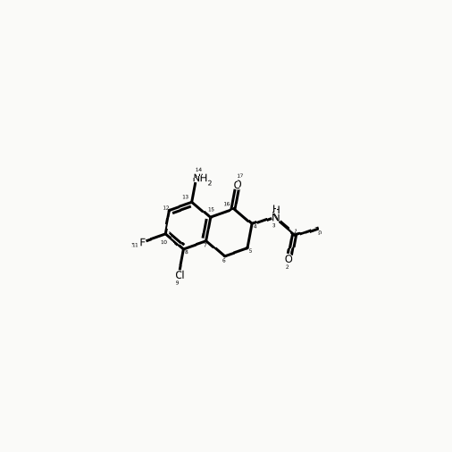 CC(=O)NC1CCc2c(Cl)c(F)cc(N)c2C1=O